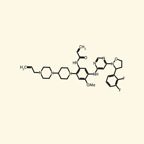 C=CCN1CCN(C2CCN(c3cc(OC)c(Nc4cc(N5OCCC5c5cccc(F)c5F)ncn4)cc3NC(=O)C=C)CC2)CC1